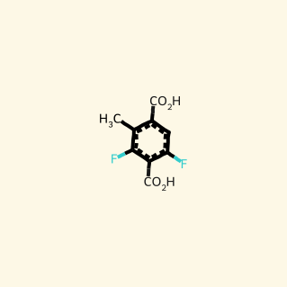 Cc1c(C(=O)O)cc(F)c(C(=O)O)c1F